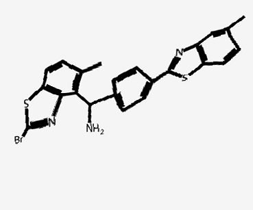 Cc1ccc2sc(-c3ccc(C(N)c4c(C)ccc5sc(Br)nc45)cc3)nc2c1